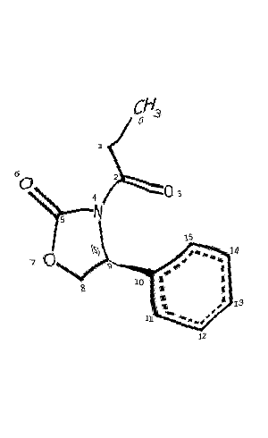 CCC(=O)N1C(=O)OC[C@@H]1c1ccccc1